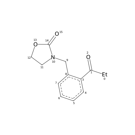 CCC(=O)c1ccccc1CN1CCOC1=O